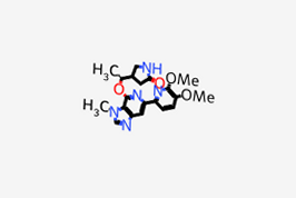 COc1ccc(-c2cc3ncn(C)c3c(O[C@H](C)C3CNC(=O)C3)n2)nc1OC